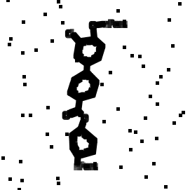 CCCCCOc1ccc(-c2ccc(C(=O)Oc3ccc(CCCCC)cc3)cc2)cc1Cl